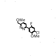 COCc1ccc(-c2cc(OC)c(Cl)cc2F)nn1